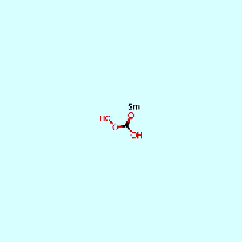 O=C(O)OO.[Sm]